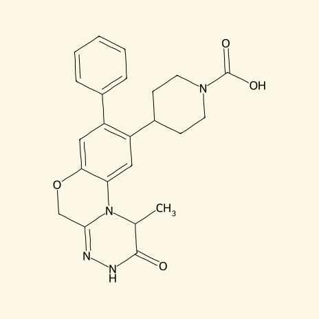 CC1C(=O)NN=C2COc3cc(-c4ccccc4)c(C4CCN(C(=O)O)CC4)cc3N21